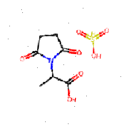 CC(C(=O)O)N1C(=O)CCC1=O.O=[SH](=O)O